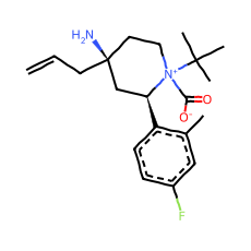 C=CC[C@]1(N)CC[N+](C(=O)[O-])(C(C)(C)C)[C@@H](c2ccc(F)cc2C)C1